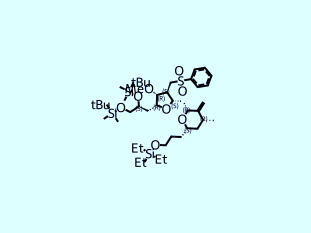 C=C1[C@H](C)C[C@H](CCCO[Si](CC)(CC)CC)O[C@@H]1C[C@@H]1O[C@H](C[C@@H](CO[Si](C)(C)C(C)(C)C)O[Si](C)(C)C(C)(C)C)[C@H](OC)[C@H]1CS(=O)(=O)c1ccccc1